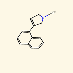 CCN1CC=C(c2cccc3ccccc23)C1